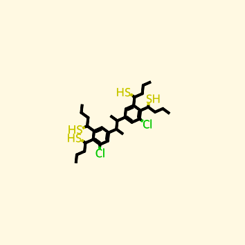 CCCC(S)c1cc(C(C)C(C)c2cc(Cl)c(C(S)CCC)c(C(S)CCC)c2)cc(Cl)c1C(S)CCC